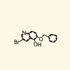 Oc1c(OCc2ccccc2)ccc2ncc(Br)cc12